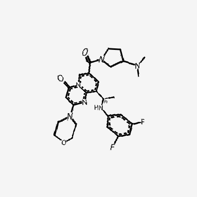 C[C@@H](Nc1cc(F)cc(F)c1)c1cc(C(=O)N2CCC(N(C)C)C2)cn2c(=O)cc(N3CCOCC3)nc12